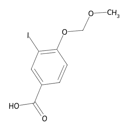 COCOc1ccc(C(=O)O)cc1I